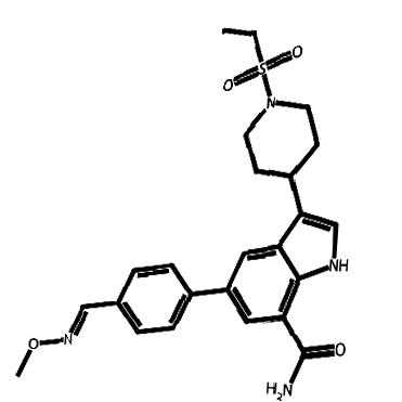 CCS(=O)(=O)N1CCC(c2c[nH]c3c(C(N)=O)cc(-c4ccc(/C=N/OC)cc4)cc23)CC1